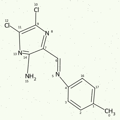 Cc1ccc(N=Cc2nc(Cl)c(Cl)nc2N)cc1